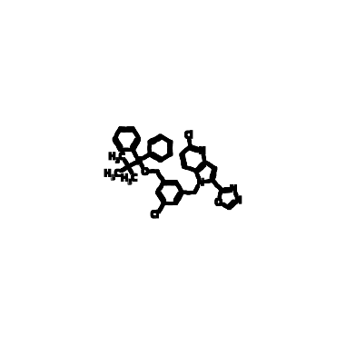 CC(C)(C)[Si](OCc1cc(Cl)cc(Cn2c(-c3nnco3)cc3nc(Cl)ccc32)c1)(c1ccccc1)c1ccccc1